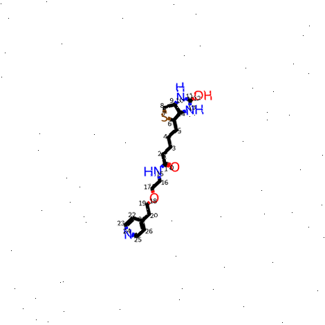 O=C(CCCCC1SCC2NC(O)NC21)NCCOCCc1ccncc1